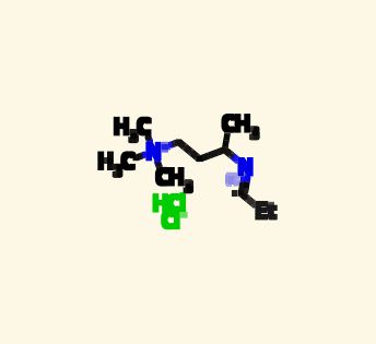 Cl.[CH2]C/[C]=N/C(C)CC[N+](C)(C)C.[Cl-]